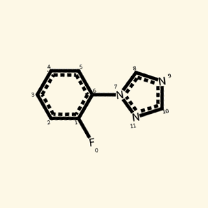 Fc1cc[c]cc1-n1cncn1